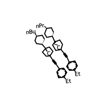 CCCC[C@H]1CC[C@H](C23CCC(C#Cc4ccc(CC)cc4)(CC2)CC3)CC1.CCC[C@H]1CC[C@H](C23CCC(C#Cc4ccc(CC)cc4)(CC2)CC3)CC1